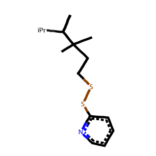 CC(C)C(C)C(C)(C)CCSSc1ccccn1